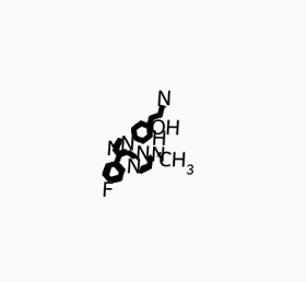 CNc1ccnc(-c2c(-c3ccc(F)cc3)ncn2C2CCC(O)(CCC#N)CC2)n1